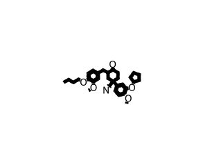 CCCCOc1ccc(CC2CC(C#N)(c3ccc(OC)c(OC4CCCC4)c3)CCC2=O)cc1OC